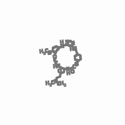 COc1ccc2cc1OCCNC(=O)C(CCCCN(C)C)NC(=O)COc1ccc(cc1)Nc1cc(ncn1)N2